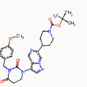 COc1ccc(CN2C(=O)CCN(c3cnn4cc(C5CCN(C(=O)OC(C)(C)C)CC5)ncc34)C2=O)cc1